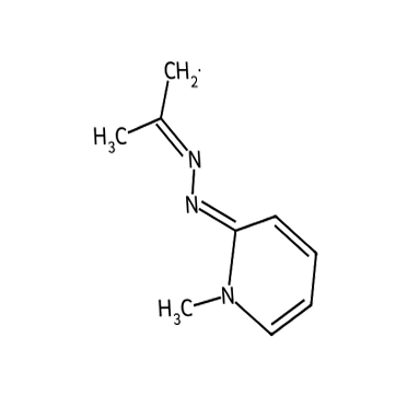 [CH2]C(C)=NN=c1ccccn1C